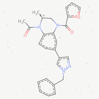 CC(=O)N1c2ccc(-c3cnn(Cc4ccccc4)c3)cc2N(C(=O)c2ccco2)C[C@@H]1C